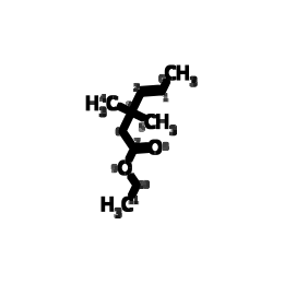 C/C=C/C(C)(C)CC(=O)OCC